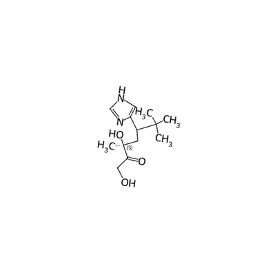 CC(C)(C)C(C[C@](C)(O)C(=O)CO)c1c[nH]cn1